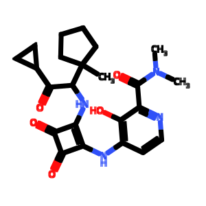 CN(C)C(=O)c1nccc(Nc2c(NC(C(=O)C3CC3)C3(C)CCCC3)c(=O)c2=O)c1O